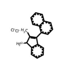 CC1=C(c2cccc3ccccc23)c2ccccc2[CH]1[Hf+2].[Cl-].[Cl-]